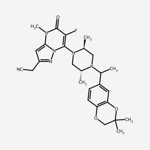 CC(c1ccc2c(c1)OC(C)(C)CO2)N1C[C@H](C)N(c2c(F)c(=O)n(C)c3cc(CC#N)nn23)C[C@H]1C